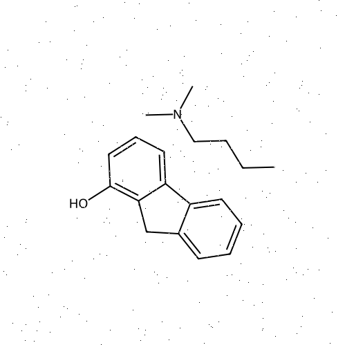 CCCCN(C)C.Oc1cccc2c1Cc1ccccc1-2